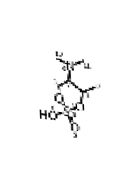 CC(OS(=O)(=O)O)C(C)N(C)C